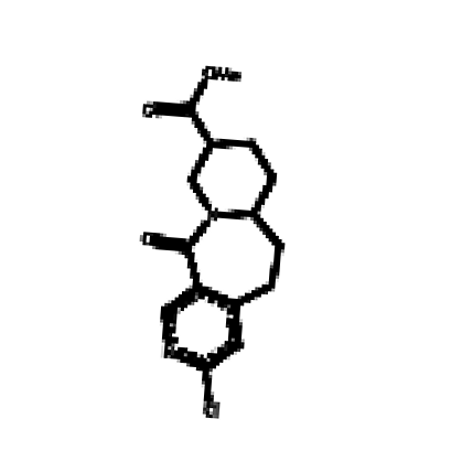 COC(=O)C1CCC2CCc3cc(Cl)ncc3C(=O)N2C1